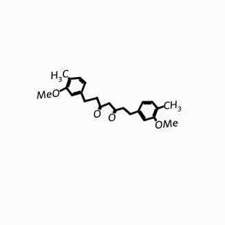 COc1cc(CCC(=O)CC(=O)CCc2ccc(C)c(OC)c2)ccc1C